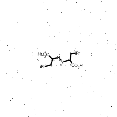 CC(C)CC(/N=N/C(CC(C)C)C(=O)O)C(=O)O